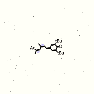 CC(=O)/C(C)=C\C(C)=C/C=C1C=C(C(C)(C)C)C(=O)C(C(C)(C)C)=C1